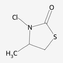 CC1CSC(=O)N1Cl